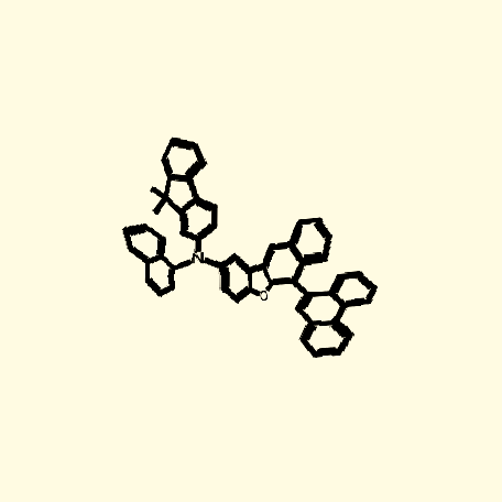 CC1(C)c2ccccc2-c2ccc(N(c3ccc4oc5c(-c6cc7ccccc7c7ccccc67)c6ccccc6cc5c4c3)c3cccc4ccccc34)cc21